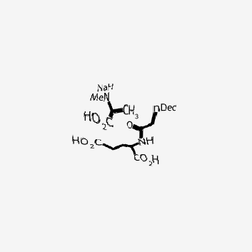 CCCCCCCCCCCC(=O)NC(CCC(=O)O)C(=O)O.CNC(C)C(=O)O.[NaH]